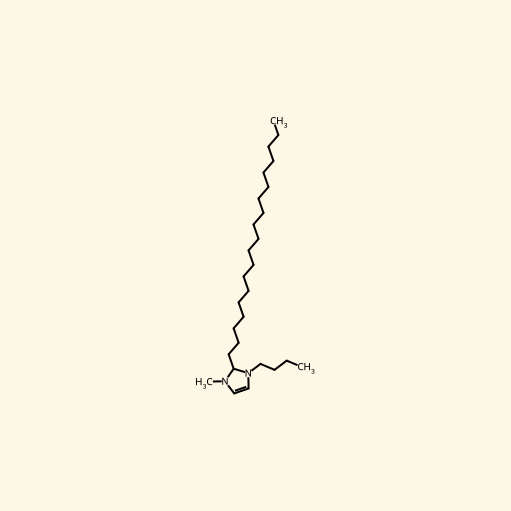 CCCCCCCCCCCCCCCCCCCC1N(C)C=CN1CCCC